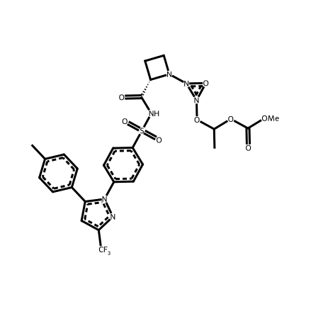 COC(=O)OC(C)On1on1N1CC[C@H]1C(=O)NS(=O)(=O)c1ccc(-n2nc(C(F)(F)F)cc2-c2ccc(C)cc2)cc1